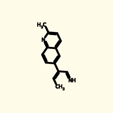 C/C=C(\C=N)c1ccc2nc(C)ccc2c1